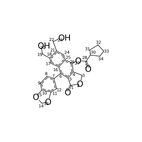 O=C1OCc2c1c(-c1ccc3c(c1)OCO3)c1cc(CO)c(CO)cc1c2OC(=O)C1CCCC1